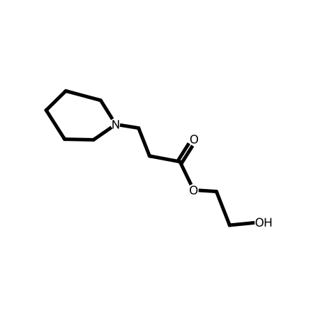 O=C(CCN1CCCCC1)OCCO